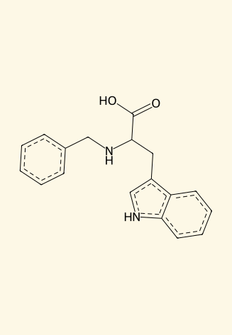 O=C(O)C(Cc1c[nH]c2ccccc12)NCc1ccccc1